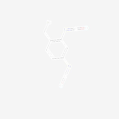 O=C=Nc1ccc(CBr)c(N=C=O)c1